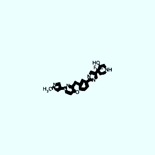 Cn1cc(-n2ccc(=O)c(Cc3cccc(-c4ncc([C@]5(F)CCNC[C@@H]5O)cn4)c3)n2)cn1